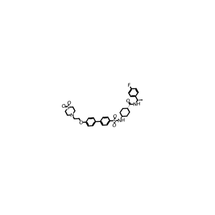 C[C@@H](NC(=O)[C@H]1CC[C@H](NS(=O)(=O)c2ccc(-c3ccc(OCCN4CCS(=O)(=O)CC4)cc3)cc2)CC1)c1ccc(F)cc1